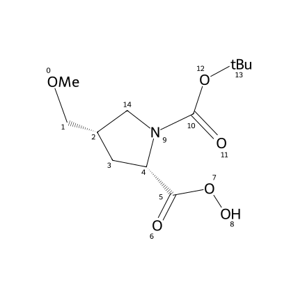 COC[C@H]1C[C@@H](C(=O)OO)N(C(=O)OC(C)(C)C)C1